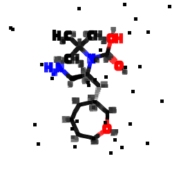 CC(C)(C)N(C(=O)O)[C@H](CN)C[C@H]1CCCCOC1